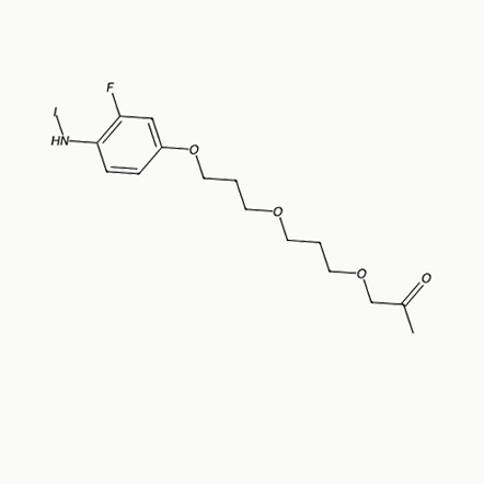 CC(=O)COCCCOCCCOc1ccc(NI)c(F)c1